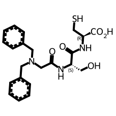 O=C(CN(Cc1ccccc1)Cc1ccccc1)N[C@@H](CO)C(=O)N[C@@H](CS)C(=O)O